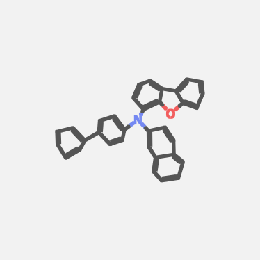 c1ccc(-c2ccc(N(c3ccc4ccccc4c3)c3cccc4c3oc3ccccc34)cc2)cc1